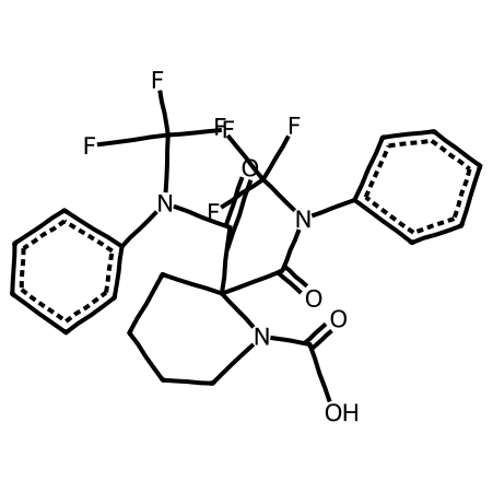 O=C(O)N1CCCCC1(C(=O)N(c1ccccc1)C(F)(F)F)C(=O)N(c1ccccc1)C(F)(F)F